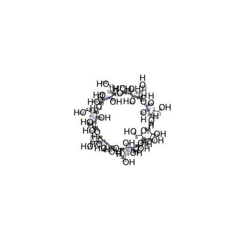 OCC[C@H]1O[C@H]2OC(CO)[C@@H](O[C@@H](O)/C(O)=C(\O)[C@@H](CCO)O[C@@H](O)/C(O)=C(/O)[C@@H](CCO)O[C@@H](O)/C(O)=C(\O)[C@@H](CCO)O[C@@H](O)/C(O)=C(\O)[C@@H](CCO)O[C@@H](O)/C(O)=C(\O)[C@@H](CCO)O/C(O)=C/1O)[C@H](O)C2O